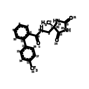 C[C@]1(CNC(=O)c2ccccc2-c2ccc(C(F)(F)F)cc2)NC(=O)NC1=O